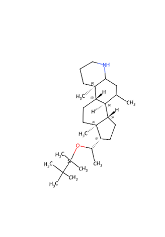 CC1CC2NCCC[C@]2(C)[C@H]2CC[C@]3(C)[C@@H](C(C)O[Si](C)(C)C(C)(C)C)CC[C@H]3[C@H]12